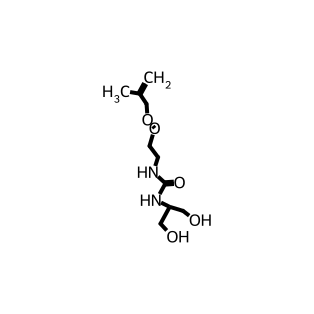 C=C(C)COOCCNC(=O)NC(CO)CO